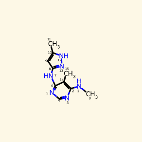 CNc1ncnc(Nc2cc(C)[nH]n2)c1C